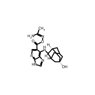 C/C(N)=N/OC(=O)c1cnc2[nH]cnc2c1N[C@H]1[C@@H]2CC3C[C@H]1C[C@@](O)(C3)C2